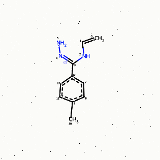 C=CN/C(=N\N)c1ccc(C)cc1